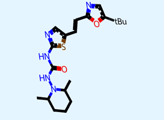 CC1CCCC(C)N1NC(=O)Nc1ncc(/C=C/c2ncc(C(C)(C)C)o2)s1